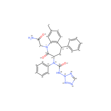 Cc1ccc2c(c1)N(CC(N)=O)C(=O)C(N(C(=O)Nn1ncnn1)c1ccccc1)CC2c1ccccc1